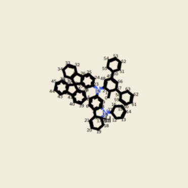 CC1C(N(c2ccc3c(c2)N(C2CC=CCC2)[C@@H]2CCC=CC32)c2ccc3c(c2)C2(C4=C3C=CCC4)c3ccccc3-c3ccccc32)=CC(C2C=CC=CC2)=CC1C1C=CC=CC1